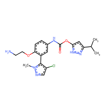 CC(C)c1cc(OC(=O)Nc2ccc(OCCN)c(-c3c(Cl)cnn3C)c2)[nH]n1